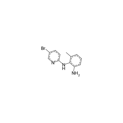 Cc1cccc(N)c1Nc1ccc(Br)cn1